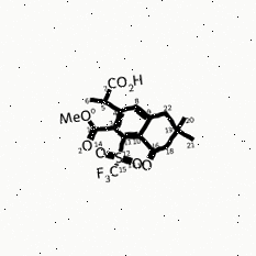 COC(=O)c1c(C(C)C(=O)O)cc2c(c1S(=O)(=O)C(F)(F)F)C(=O)CC(C)(C)C2